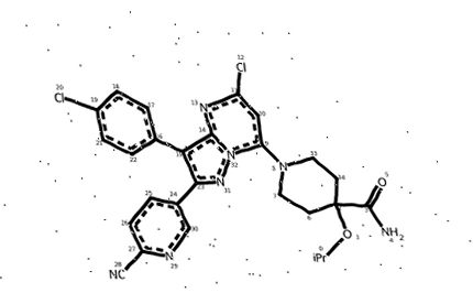 CC(C)OC1(C(N)=O)CCN(c2cc(Cl)nc3c(-c4ccc(Cl)cc4)c(-c4ccc(C#N)nc4)nn23)CC1